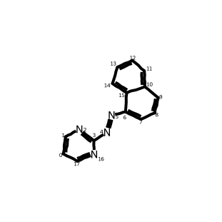 c1cnc(N=Nc2cccc3ccccc23)nc1